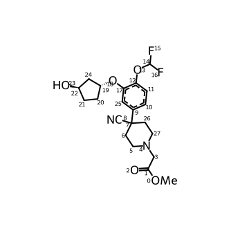 COC(=O)CN1CCC(C#N)(c2ccc(OC(F)F)c(O[C@@H]3CC[C@@H](O)C3)c2)CC1